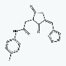 Cc1ccc(NC(=O)CN2C(=O)SC(=Cc3cccs3)C2=O)cc1